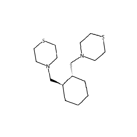 C1CC[C@@H](CN2CCSCC2)[C@H](CN2CCSCC2)C1